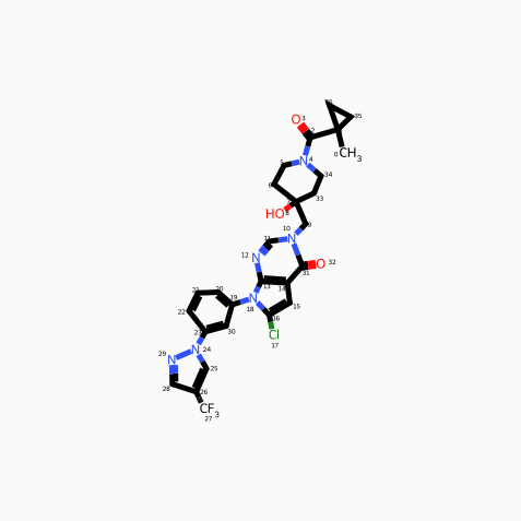 CC1(C(=O)N2CCC(O)(Cn3cnc4c(cc(Cl)n4-c4cccc(-n5cc(C(F)(F)F)cn5)c4)c3=O)CC2)CC1